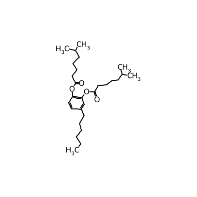 CCCCCCc1ccc(OC(=O)CCCCC(C)C)c(OC(=O)CCCCC(C)C)c1